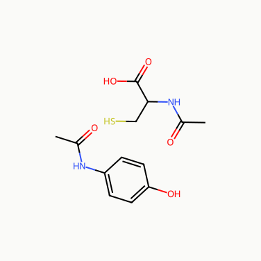 CC(=O)NC(CS)C(=O)O.CC(=O)Nc1ccc(O)cc1